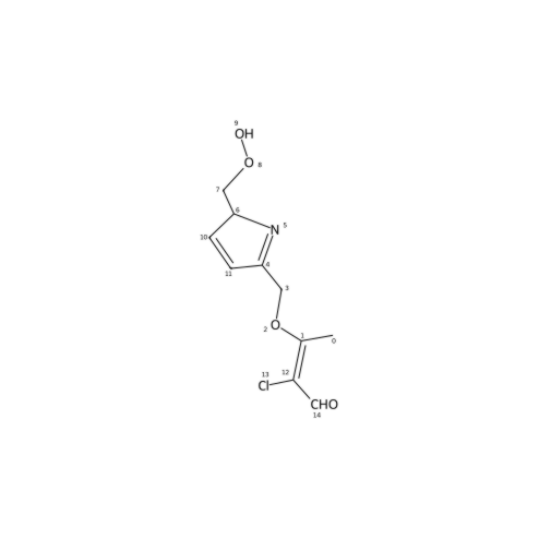 C/C(OCC1=NC(COO)C=C1)=C(/Cl)C=O